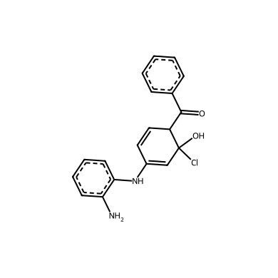 Nc1ccccc1NC1=CC(O)(Cl)C(C(=O)c2ccccc2)C=C1